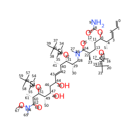 C=CC=C[C@H](C)[C@H](OC(N)=O)[C@@H](C)[C@H](O[Si](C)(C)C(C)(C)C)[C@@H](C)C(=O)N(C)C[C@H](C)[C@@H](O[Si](C)(C)C(C)(C)C)[C@@H](C)C=C[C@@H](O)C[C@H](O)[C@H](C)[C@H](O[Si](C)(C)C(C)(C)C)[C@@H](C)C(=O)N(C)OC